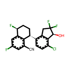 N#Cc1cc(F)cc2c1[C@@H](c1ccc(Cl)c3c1CC(F)(F)[C@H]3O)CC[C@@H]2F